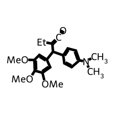 CCC(=C=O)C(c1ccc(N(C)C)cc1)c1cc(OC)c(OC)c(OC)c1